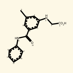 Cc1cc(NCC(=O)O)cc(C(=O)Nc2ccccc2)c1